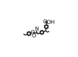 CCc1ccc(OC(=O)C(C#N)=Cc2ccc(C(CC)c3ccc(C(=O)O)cc3)cc2)cc1